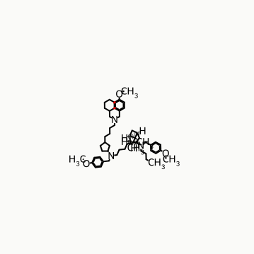 CCCCN(Cc1ccc(OC)cc1)[C@@H]1C[C@@H]2C[C@H]([C@H]1C)C2(C)CCCCCN(Cc1ccc(OC)cc1)C1CCC(CCCCN(Cc2ccc(OC)cc2)CC2CCCCC2)C1